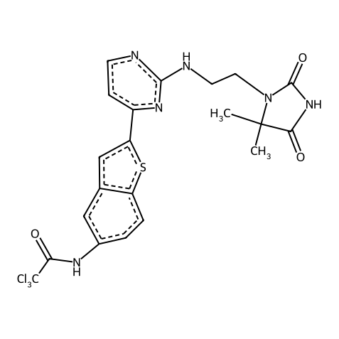 CC1(C)C(=O)NC(=O)N1CCNc1nccc(-c2cc3cc(NC(=O)C(Cl)(Cl)Cl)ccc3s2)n1